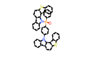 O=P(c1ccccc1)(c1ccc(-n2c3ccccc3c3ccc4sc5ccccc5c4c32)cc1)n1c2ccccc2c2ccc3sc4ccccc4c3c21